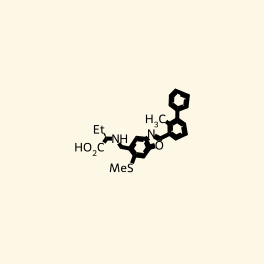 CC[C@H](NCc1cc2nc(-c3cccc(-c4ccccc4)c3C)oc2cc1SC)C(=O)O